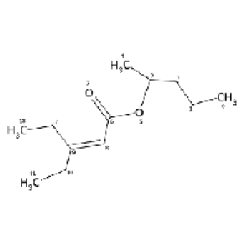 CCCC(C)OC(=O)C=C(CC)CC